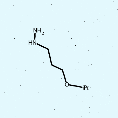 CC(C)OCCCNN